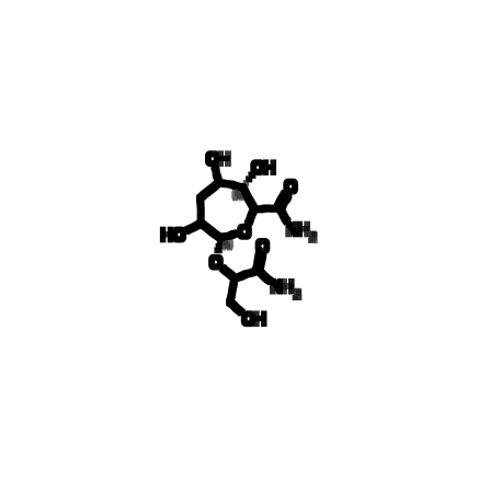 NC(=O)C(CO)O[C@H]1OC(C(N)=O)[C@@H](O)C(O)CC1O